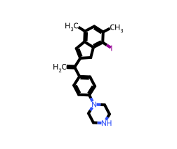 C=C(C1=Cc2c(C)cc(C)c(I)c2C1)c1ccc(N2CCNCC2)cc1